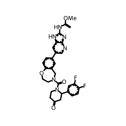 C=C(Nc1nc2ncc(-c3ccc4c(c3)CN(C(=O)N3CCC(=O)CC3c3ccc(F)c(F)c3)CCO4)cc2[nH]1)OC